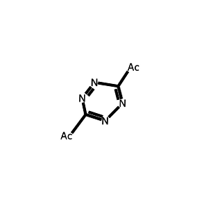 CC(=O)c1nnc(C(C)=O)nn1